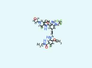 CNC(=O)c1cc(NCC#Cc2cc(C(=O)N[C@@H]3[C@@H](C)CN(C4CCOC4)C[C@@H]3F)c3ncn(CC(F)(F)F)c3c2)c(OC)cc1F